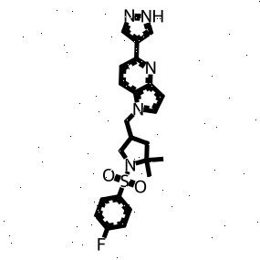 CC1(C)CC(Cn2ccc3nc(-c4cn[nH]c4)ccc32)CN1S(=O)(=O)c1ccc(F)cc1